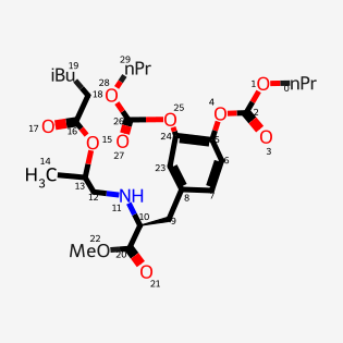 CCCOC(=O)Oc1ccc(C[C@H](NCC(C)OC(=O)CC(C)CC)C(=O)OC)cc1OC(=O)OCCC